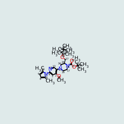 COc1cc(-n2c(C)ccc2C)ncc1N1CCN(C(=O)OC(C)(C)C)[C@H](CO[Si](C)(C)C(C)(C)C)C1